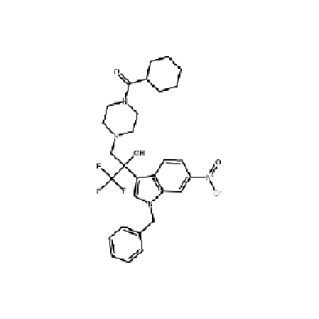 O=C(C1CCCCC1)N1CCN(CC(O)(c2cn(Cc3ccccc3)c3cc([N+](=O)[O-])ccc23)C(F)(F)F)CC1